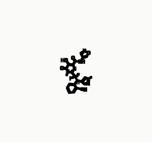 Cn1cc([C@@H](c2ccccc2C#N)C(F)(F)c2nc(C(=O)Nc3cnoc3)c(O)c(=O)n2C)cn1